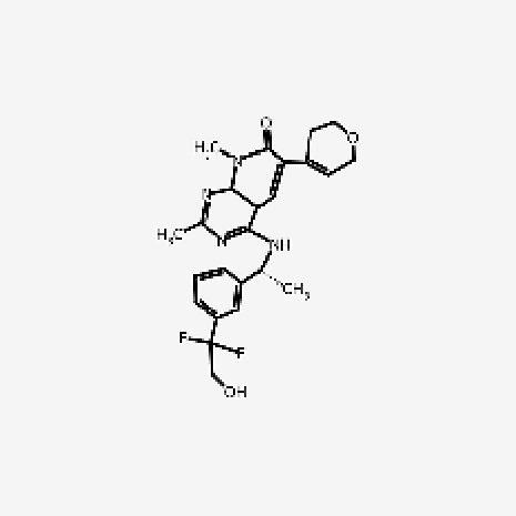 CC1=NC2C(C=C(C3=CCOCC3)C(=O)N2C)C(N[C@H](C)c2cccc(C(F)(F)CO)c2)=N1